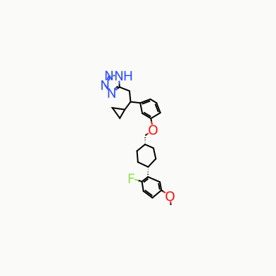 COc1ccc(F)c([C@H]2CC[C@@H](COc3cccc(C(Cc4nnn[nH]4)C4CC4)c3)CC2)c1